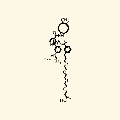 C=C1/C=C\C=C/C[C@@H](NC(=O)c2ccnc(-c3cc(N(CC)CC)ccc3N(C)C(=O)c3cccc(CCCOCCOCCOCCOCCC(=O)O)c3)c2)CCC1